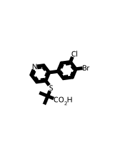 CC(C)(Sc1ccncc1-c1ccc(Br)c(Cl)c1)C(=O)O